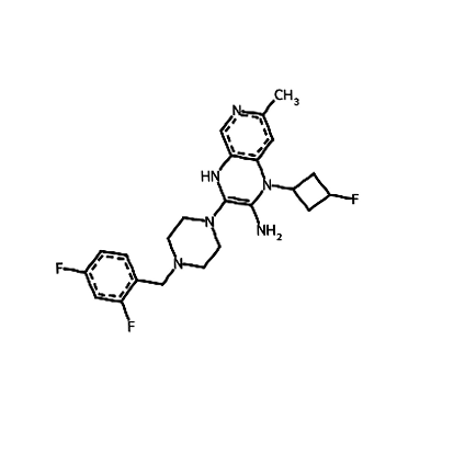 Cc1cc2c(cn1)NC(N1CCN(Cc3ccc(F)cc3F)CC1)=C(N)N2C1CC(F)C1